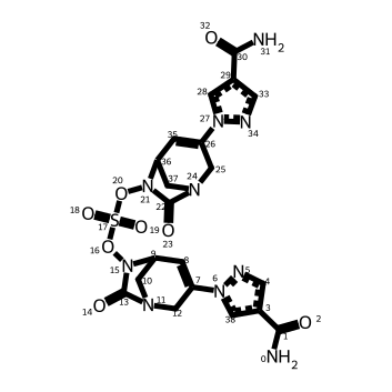 NC(=O)c1cnn(C2=CC3CN(C2)C(=O)N3OS(=O)(=O)ON2C(=O)N3CC(n4cc(C(N)=O)cn4)=CC2C3)c1